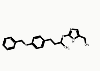 CC(CCc1ccc(OCc2ccccc2)cc1)Sc1ncc(CO)[nH]1